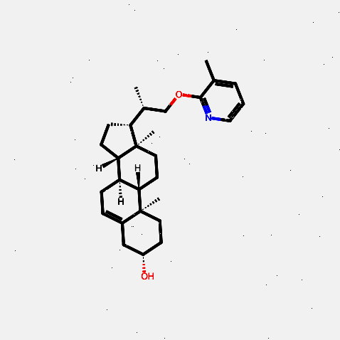 Cc1cccnc1OC[C@@H](C)[C@H]1CC[C@H]2[C@@H]3CC=C4C[C@@H](O)CC[C@]4(C)[C@H]3CC[C@]12C